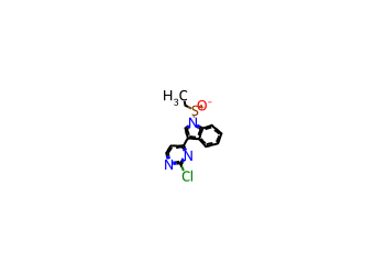 CC[S+]([O-])n1cc(-c2ccnc(Cl)n2)c2ccccc21